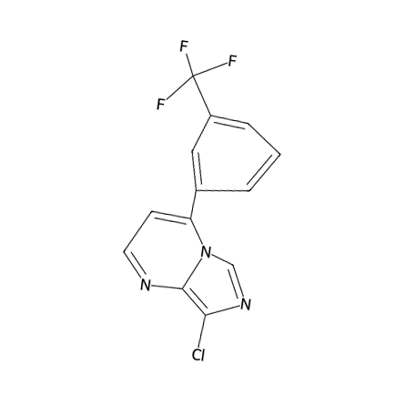 FC(F)(F)c1cccc(-c2ccnc3c(Cl)ncn23)c1